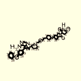 Nc1ncnc2c1c(-c1ccc(Oc3ccccc3)cc1)nn2C1CCCN(CCOCCC2CCN(c3ccc4c(c3)CN(C3CCC(=O)NC3=O)C4=O)CC2)C1